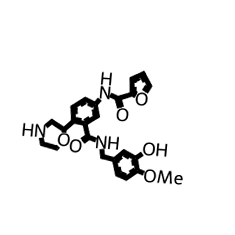 COc1ccc(CNC(=O)c2cc(NC(=O)c3ccco3)ccc2C2CNCCO2)cc1O